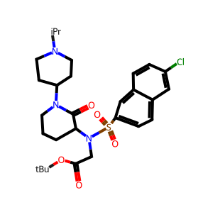 CC(C)N1CCC(N2CCCC(N(CC(=O)OC(C)(C)C)S(=O)(=O)c3ccc4cc(Cl)ccc4c3)C2=O)CC1